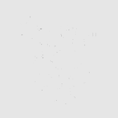 CC(=O)O[C@H]1O[C@H](COC(c2ccccc2)(c2ccccc2)c2ccccc2)[C@@H](OC(C)=O)[C@H](OCc2ccccc2)[C@H]1OC(C)=O